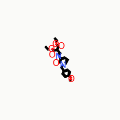 CCOC(=O)C(C=Nc1cccn(Cc2ccc(OC)cc2)c1=O)C(=O)OCC